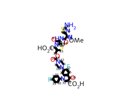 CO/N=C(\C(=O)N[C@@H]1C(=O)N2C(C(=O)O)=C(COC(=O)N3CCN(c4cc5c(cc4F)c(=O)c(C(=O)O)cn5-c4ccc(F)cc4)CC3)CS[C@H]12)c1csc(N)n1